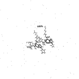 CCCCCCCCNc1nc(NC2CCC(N)CC2)nc2c1ncn2C1CCCC1.CCCCCCCCNc1nc(N[C@H]2CC[C@H](N)CC2)nc2c1ncn2C1CCCC1.Cl.Cl.Cl.Cl